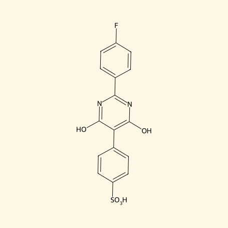 O=S(=O)(O)c1ccc(-c2c(O)nc(-c3ccc(F)cc3)nc2O)cc1